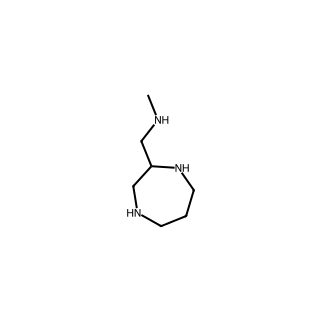 CNCC1CNCCCN1